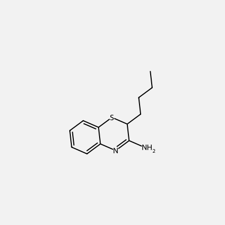 CCCCC1Sc2ccccc2N=C1N